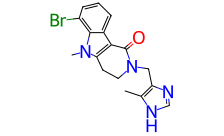 Cc1[nH]cnc1CN1CCc2c(c3cccc(Br)c3n2C)C1=O